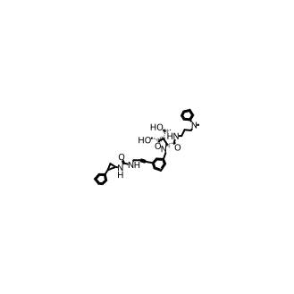 C[C@@H](O)[C@H]1[C@@H](CO)ON(Cc2cccc(C#CCNC(=O)NC3CC3c3ccccc3)c2)[C@H]1C(=O)NCCCN(C)c1ccccc1